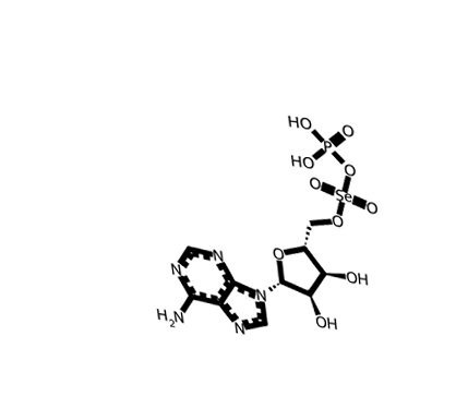 Nc1ncnc2c1ncn2[C@@H]1O[C@H](CO[Se](=O)(=O)OP(=O)(O)O)[C@@H](O)[C@H]1O